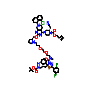 CN(CCOCCOCCCN1CCC[C@H]1COc1nc2c(c(N3CCN(C(=O)OCC[Si](C)(C)C)[C@@H](CC#N)C3)n1)CCN(c1cccc3cccc(Cl)c13)C2)C(=O)N1N=C(c2cc(F)ccc2F)SC1(CCCNC(=O)OC(C)(C)C)c1ccccc1